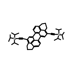 CC(C)[Si](C#Cc1cc2c3ccc4c5c(c(C#C[Si](C(C)C)(C(C)C)C(C)C)cc(c6ccc7c(c1CCC7)c62)c53)CCC4)(C(C)C)C(C)C